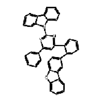 c1ccc(-c2cc(-c3ccccc3-c3ccc4oc5ccccc5c4c3)nc(-n3c4ccccc4c4ccccc43)n2)cc1